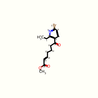 CCc1nc(Br)ccc1C(=O)CCC/C=C/C(=O)OC